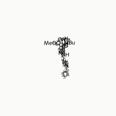 COc1cc(OC)cc(-c2cc3cnc(NCCCN4CCN(CCCC5CCCCCC5)CC4)nc3nc2NC(=O)NC(C)(C)C)c1